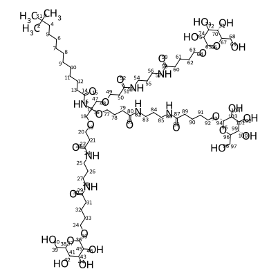 CC(C)(C)CCCCCCCCCCC(=O)NC(COCCC(=O)NCCCNC(=O)CCCCO[C@H]1OC(CO)[C@@H](O)C(O)C1O)(COCCC(=O)NCCCNC(=O)CCCCO[C@H]1OC(CO)[C@@H](O)C(O)C1O)OCCCC(=O)NCCCNC(=O)CCCCO[C@H]1OC(CO)[C@@H](O)C(O)C1O